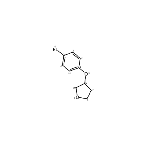 [CH2]Cc1ccc(OC2CCOC2)cc1